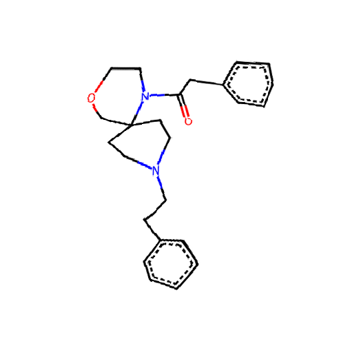 O=C(Cc1ccccc1)N1CCOCC12CCN(CCc1ccccc1)CC2